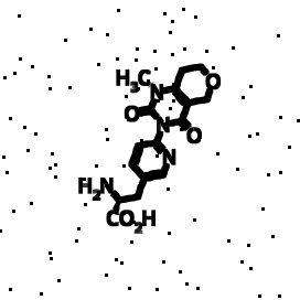 Cn1c2c(c(=O)n(-c3ccc(C[C@H](N)C(=O)O)cn3)c1=O)COCC2